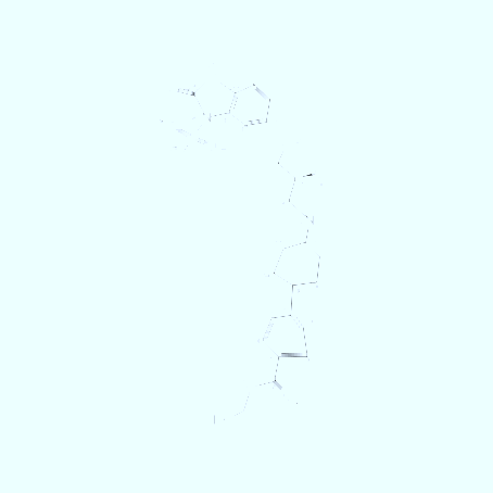 CCOC(=O)c1ccc(C2CCC(NC[C@H](O)COc3ccc4oc(=O)n(S(C)(=O)=O)c4c3)CC2)cc1